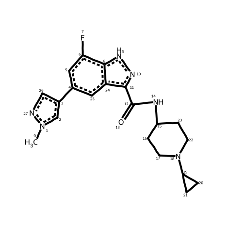 Cn1cc(-c2cc(F)c3[nH]nc(C(=O)NC4CCN(C5CC5)CC4)c3c2)cn1